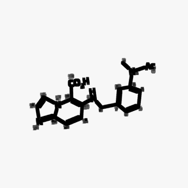 CC(=O)N(C)c1cccc(CNc2ccc3nccn3c2C(=O)O)c1